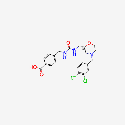 O=C(NCc1ccc(C(=O)O)cc1)NC[C@H]1CN(Cc2ccc(Cl)c(Cl)c2)CCO1